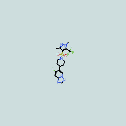 Cc1nn(C)c(C(F)(F)F)c1S(=O)(=O)N1CCC(c2cn3ncnc3cc2F)CC1